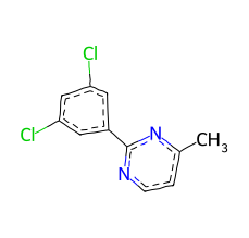 Cc1ccnc(-c2cc(Cl)cc(Cl)c2)n1